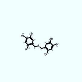 Brc1cc(Br)c(CSCc2cc(Br)c(Br)cc2Br)cc1Br